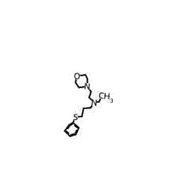 CCN(CCCSc1ccccc1)CCN1CCOCC1